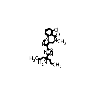 C=CCC(N)(CC=C)c1noc(-c2ncn3c2CN(C)C(=O)c2c(Cl)cccc2-3)n1